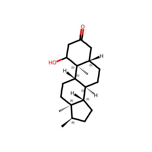 C[C@@H]1CC[C@H]2[C@@H]3CC[C@H]4CC(=O)CC(O)[C@]4(C)[C@H]3CC[C@]12C